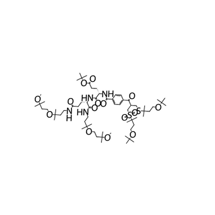 COC(C)(C)CCOC(C)(C)CCNC(=O)CC[C@H](NC(=O)[C@H](CCC(=O)OC(C)(C)C)NC(=O)c1ccc(C(=O)C(CSC(C)(C)CCOC(C)(C)C)CS(=O)(=O)C(C)(C)CCOC(C)(C)C)cc1)C(=O)NCCC(C)(C)OCCC(C)(C)OC